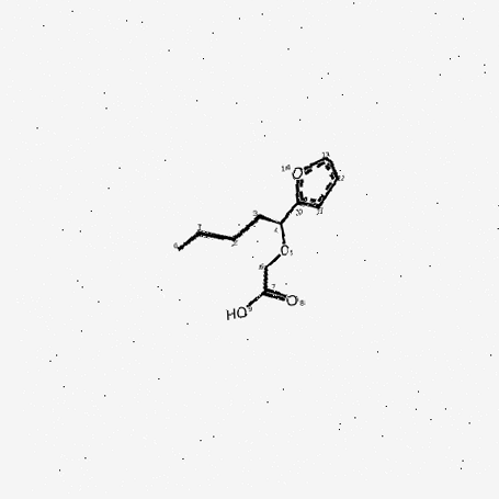 CCCC[C@H](OCC(=O)O)c1ccco1